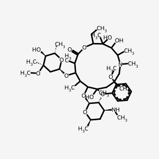 CCC1OC(=O)C(C)C(O[C@H]2C[C@@](C)(OC)[C@@H](O)[C@H](C)O2)C(C)C(O[C@@H]2O[C@H](C)C[C@H](NC)[C@H]2Oc2ccccc2OC)C(C)(O)CC(C)CN(C)C(C)C(O)C1(C)O